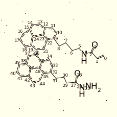 C=CC(=O)NCCCCc1ccc2ccc3cccc4ccc1c2c34.NNC(=O)CCCc1ccc2ccc3cccc4ccc1c2c34